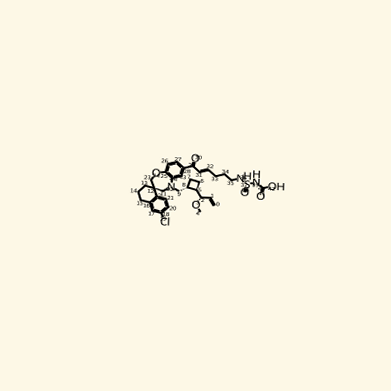 C=C[C@H](OC)[C@@H]1CC[C@H]1CN1C[C@@]2(CCCc3cc(Cl)ccc32)COc2ccc(C(=O)C=CCCC/N=[SH](=O)/NC(=O)O)cc21